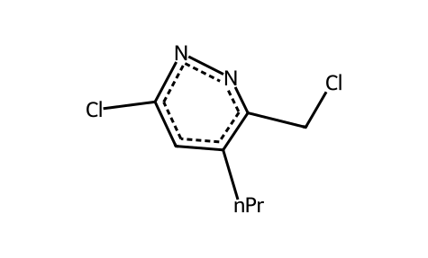 CCCc1cc(Cl)nnc1CCl